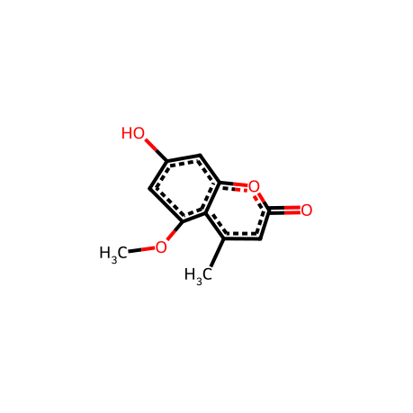 COc1cc(O)cc2oc(=O)cc(C)c12